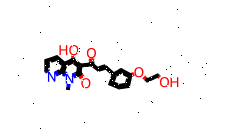 Cn1c(=O)c(C(=O)/C=C/c2cccc(OCCO)c2)c(O)c2cccnc21